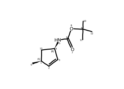 C[C@@H]1C=C[C@H](NC(=O)OC(C)(C)C)C1